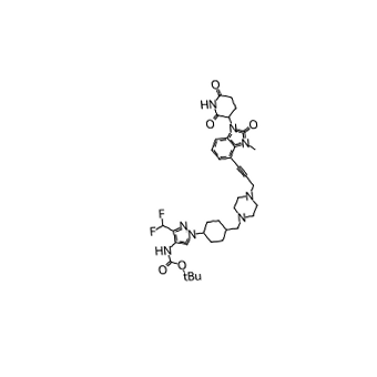 Cn1c(=O)n(C2CCC(=O)NC2=O)c2cccc(C#CCN3CCN(CC4CCC(n5cc(NC(=O)OC(C)(C)C)c(C(F)F)n5)CC4)CC3)c21